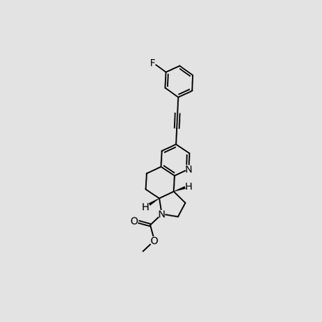 COC(=O)N1CC[C@H]2c3ncc(C#Cc4cccc(F)c4)cc3CC[C@H]21